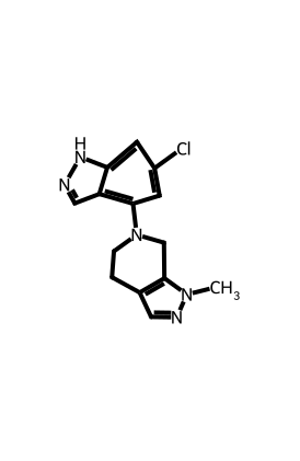 Cn1ncc2c1CN(c1cc(Cl)cc3[nH]ncc13)CC2